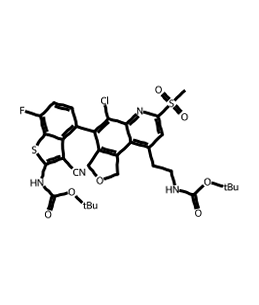 CC(C)(C)OC(=O)NCCc1cc(S(C)(=O)=O)nc2c(Cl)c(-c3ccc(F)c4sc(NC(=O)OC(C)(C)C)c(C#N)c34)c3c(c12)COC3